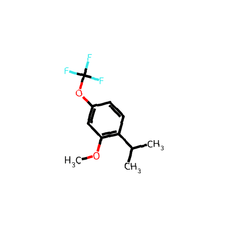 COc1cc(OC(F)(F)F)ccc1C(C)C